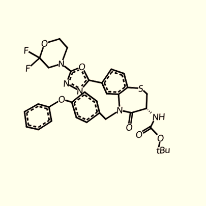 CC(C)(C)OC(=O)N[C@H]1CSc2ccc(-c3nnc(N4CCOC(F)(F)C4)o3)cc2N(Cc2ccc(Oc3ccccc3)cc2)C1=O